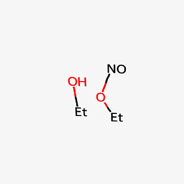 CCO.CCON=O